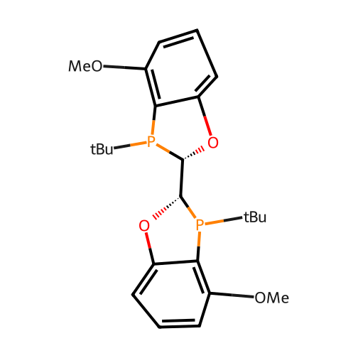 COc1cccc2c1P(C(C)(C)C)[C@@H]([C@H]1Oc3cccc(OC)c3P1C(C)(C)C)O2